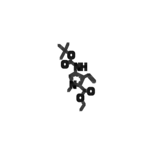 C=Cc1c(NC(=O)OC(C)(C)C)cn(C)c1C(=O)OCC